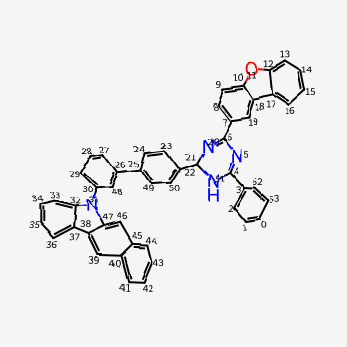 c1ccc(C2=NC(c3ccc4oc5ccccc5c4c3)=NC(c3ccc(-c4cccc(-n5c6ccccc6c6cc7ccccc7cc65)c4)cc3)N2)cc1